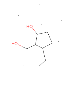 CCC1CCC(O)C1CO